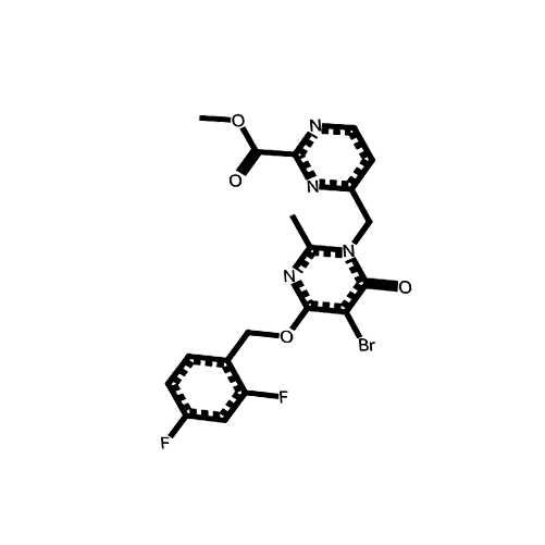 COC(=O)c1nccc(Cn2c(C)nc(OCc3ccc(F)cc3F)c(Br)c2=O)n1